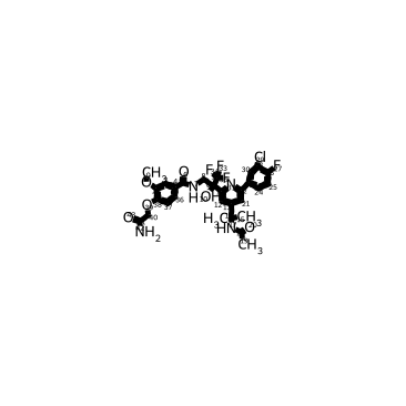 COc1cc(C(=O)NCC(O)(c2cc(C(C)(C)NC(C)=O)cc(-c3ccc(F)c(Cl)c3)n2)C(F)(F)F)ccc1OCC(N)=O